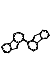 C1=c2c(cccc2=c2cccc3c2=Cc2ccccc2-3)-c2ccccc21